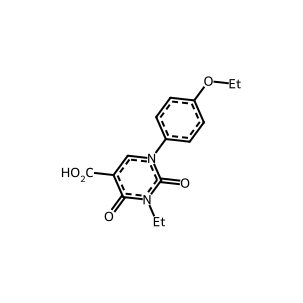 CCOc1ccc(-n2cc(C(=O)O)c(=O)n(CC)c2=O)cc1